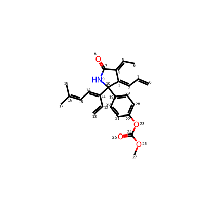 C=C/C=C1\C(=C/C)C(=O)NC1(/C(C=C)=C/C=C(C)C)c1ccc(OC(=O)OC)cc1